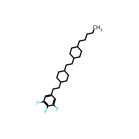 CCCCCC1CCC(CCC2CCC(CCc3cc(F)c(F)c(F)c3)CC2)CC1